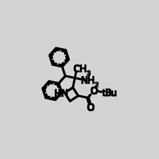 CC(C)(C)OC(=O)C1CNC1C(C)(N)C(c1ccccc1)c1ccccc1